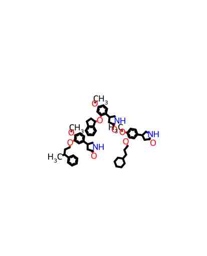 COc1ccc(C2CNC(=O)C2)c(OC2CCc3ccccc32)c1.COc1ccc(C2CNC(=O)C2)cc1OCCC(C)c1ccccc1.COc1ccc(C2CNC(=O)C2)cc1OCCCC1CCCCC1